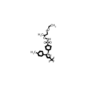 CCOOCC(C)ONS(=O)(=O)c1ccc(-n2nc(C(F)(F)F)cc2-c2ccc(C)cc2)cc1